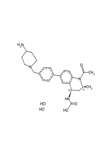 CC(=O)N1c2ccc(-c3ccc(CN4CCC(N)CC4)cc3)cc2[C@H](NC(=O)O)C[C@@H]1C.Cl.Cl